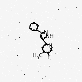 Cc1cc(-c2cc(-c3ccccc3)n[nH]2)ncc1F